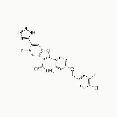 NC(=O)c1c(-c2ccc(OCc3ccc(Cl)c(F)c3)cc2)oc2cc(-c3nnn[nH]3)c(F)cc12